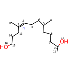 C/C(=C/CCC(C)CCCC(C)O)CCCO